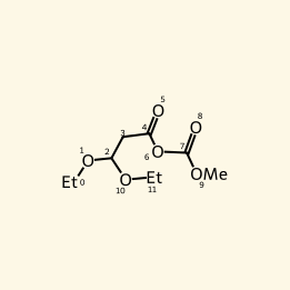 CCOC(CC(=O)OC(=O)OC)OCC